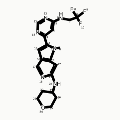 Cn1c(-c2cc(NCC(F)(F)F)ncn2)cc2cnc(NC3CCOCC3)cc21